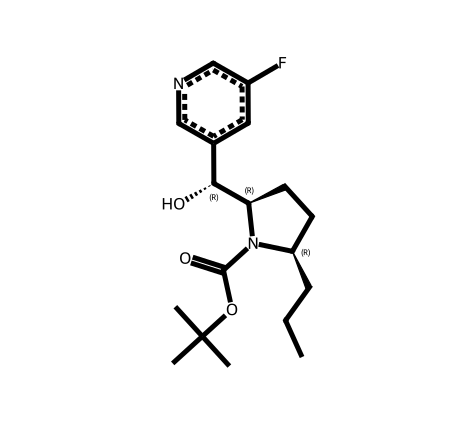 CCC[C@@H]1CC[C@H]([C@H](O)c2cncc(F)c2)N1C(=O)OC(C)(C)C